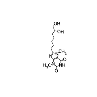 Cn1c(CCCCCC(O)CO)nc2c1c(=O)[nH]c(=O)n2C